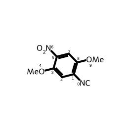 [C-]#[N+]c1cc(OC)c([N+](=O)[O-])cc1OC